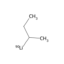 [90Li][CH](C)CC